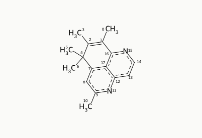 CC1=C(C)C(C)(C)c2cc(C)nc3ccnc1c23